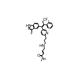 CN(C)C(=O)/C=C/CNCCCc1ccc(/C(=C(/CC(F)(F)F)c2ccccc2)c2ccc3[nH]nc(F)c3c2)cn1